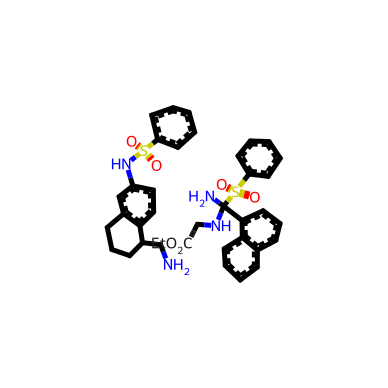 CCOC(=O)CNC(N)(c1cccc2ccccc12)S(=O)(=O)c1ccccc1.NCC1CCCc2cc(NS(=O)(=O)c3ccccc3)ccc21